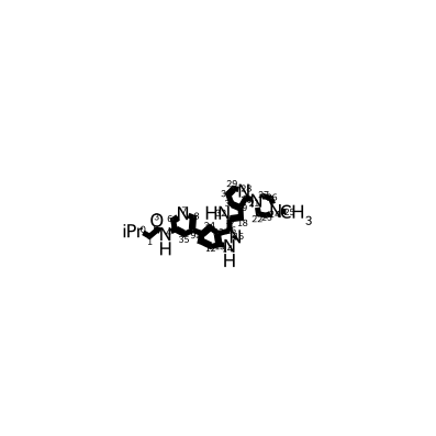 CC(C)CC(=O)Nc1cncc(-c2ccc3[nH]nc(-c4cc5c(N6CCN(C)CC6)nccc5[nH]4)c3c2)c1